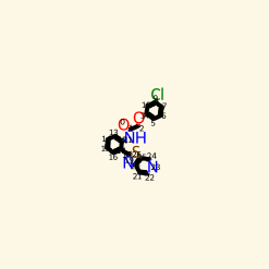 O=C(COc1cccc(Cl)c1)Nc1ccccc1-c1nc2ccncc2s1